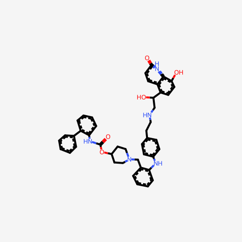 O=C(Nc1ccccc1-c1ccccc1)OC1CCN(Cc2ccccc2Nc2ccc(CCNCC(O)c3ccc(O)c4[nH]c(=O)ccc34)cc2)CC1